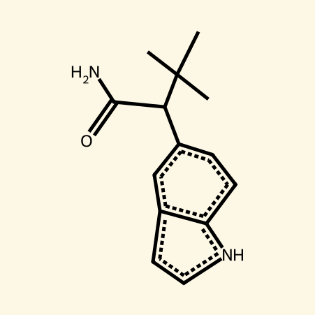 CC(C)(C)C(C(N)=O)c1ccc2[nH]ccc2c1